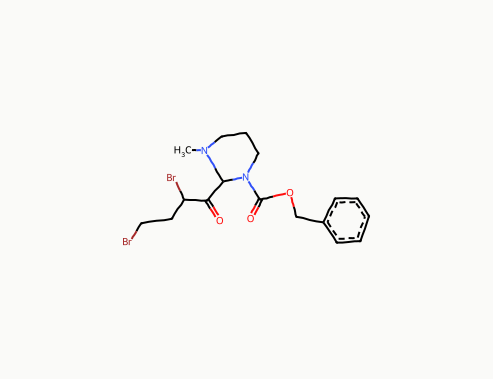 CN1CCCN(C(=O)OCc2ccccc2)C1C(=O)C(Br)CCBr